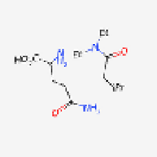 CCN(CC)C(=O)CC(C)C.NC(=O)CCC(N)C(=O)O